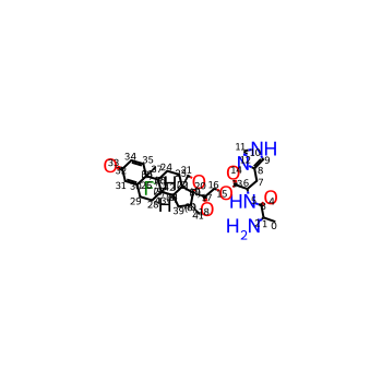 CC(N)C(=O)NC(Cc1c[nH]cn1)C(=O)OCC(=O)[C@]12OC[C@@]13CC[C@@]1(F)[C@@H](CCC4=CC(=O)C=C[C@@]41C)[C@@H]3C[C@@H]2C